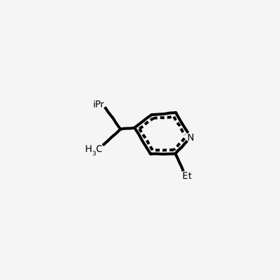 CCc1cc(C(C)C(C)C)ccn1